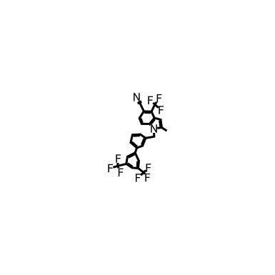 Cc1cc2c(C(F)(F)F)c(C#N)ccc2n1Cc1cccc(-c2cc(C(F)(F)F)cc(C(F)(F)F)c2)c1